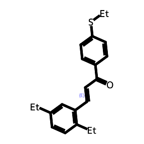 CCSc1ccc(C(=O)/C=C/c2cc(CC)ccc2CC)cc1